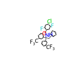 O=C(NC(Cc1ccccc1)(c1cccc(C(F)(F)F)c1)c1cccc(C(F)(F)F)c1)c1cc(F)c(Cl)cc1F